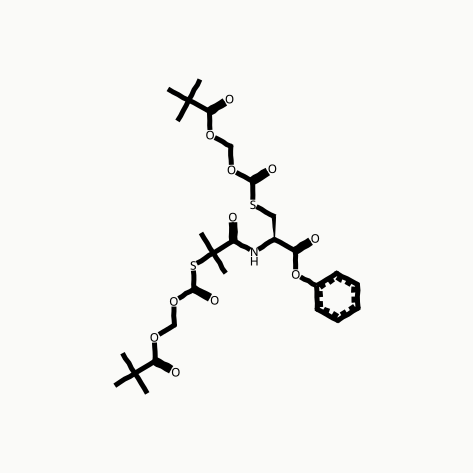 CC(C)(C)C(=O)OCOC(=O)SC[C@H](NC(=O)C(C)(C)SC(=O)OCOC(=O)C(C)(C)C)C(=O)Oc1ccccc1